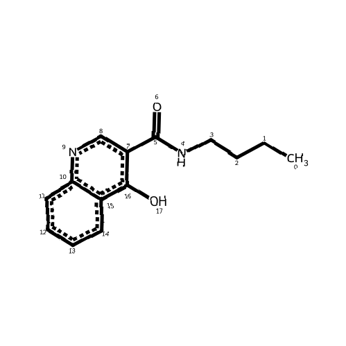 CCCCNC(=O)c1cnc2ccccc2c1O